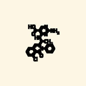 CC(Nc1nc(N)ncc1C(=O)O)c1cc2cccc(Cl)c2c(=O)n1-c1ccccc1